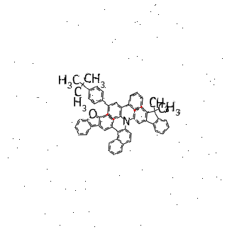 CC(C)(C)c1ccc(-c2ccc(N(c3ccc4c(c3)-c3ccccc3C4(C)C)c3ccc4ccccc4c3-c3ccc4oc5ccccc5c4c3)c(-c3ccccc3)c2)cc1